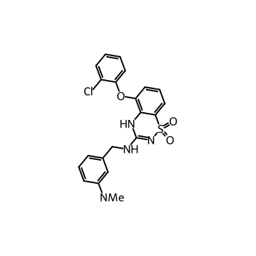 CNc1cccc(CNC2=NS(=O)(=O)c3cccc(Oc4ccccc4Cl)c3N2)c1